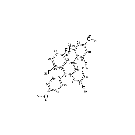 COc1ccc(-c2c3cc(F)ccc3c(-c3c(F)cc(OC)cc3F)c3c(F)ccc(F)c23)cc1